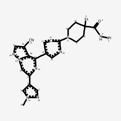 CCC1(C(=O)NC(C)C)CCN(c2ccc(-c3nc(-c4cnn(C)c4)cn4ncc(C#N)c34)cn2)CC1